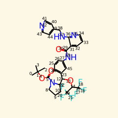 CC(C)(C)OC(=O)N1CCCC1C(OC(C(F)(F)F)C(F)(F)F)c1cccc(NC(=O)c2cccnc2NCc2ccncc2)c1